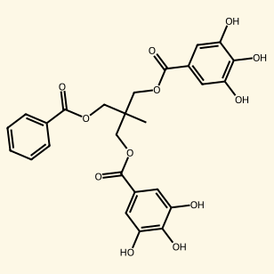 CC(COC(=O)c1ccccc1)(COC(=O)c1cc(O)c(O)c(O)c1)COC(=O)c1cc(O)c(O)c(O)c1